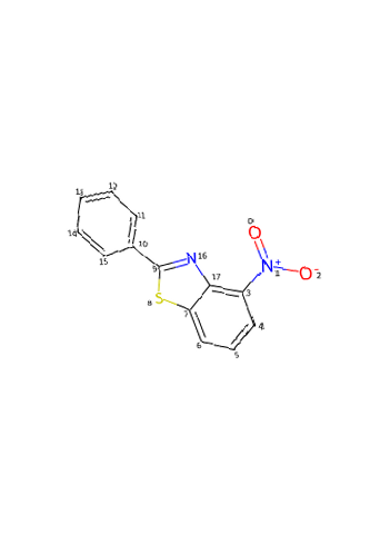 O=[N+]([O-])c1cccc2sc(-c3ccccc3)nc12